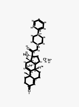 C[C@]12CCC(=O)C=C1CC[C@@H]1C2=CC[C@@]2(C)[C@H]1CC[C@]2(O)C(=O)CN1CCN(c2ccccn2)CC1.[Cl-].[H+]